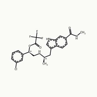 CNC(=O)c1ccc2c(C[C@@H](C)NC[C@H](OC(=O)C(F)(F)F)c3cccc(Cl)c3)c[nH]c2c1